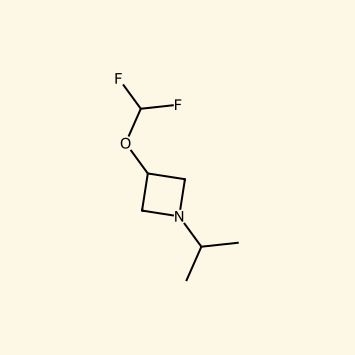 CC(C)N1CC(OC(F)F)C1